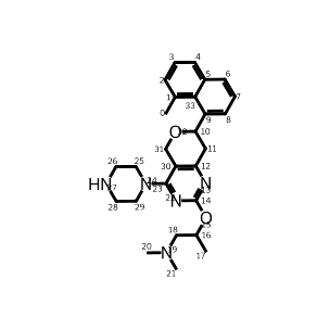 Cc1cccc2cccc(C3Cc4nc(OC(C)CN(C)C)nc(N5CCNCC5)c4CO3)c12